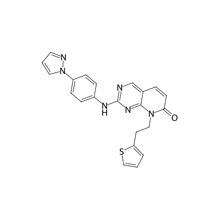 O=c1ccc2cnc(Nc3ccc(-n4cccn4)cc3)nc2n1CCc1cccs1